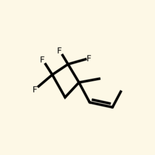 C/C=C\C1(C)CC(F)(F)C1(F)F